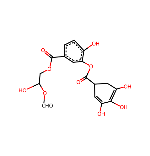 O=COC(O)COC(=O)c1ccc(O)c(OC(=O)C2C=C(O)C(O)=C(O)C2)c1